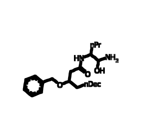 CCCCCCCCCCCC(CC(=O)NC(CCC)C(N)O)OCc1ccccc1